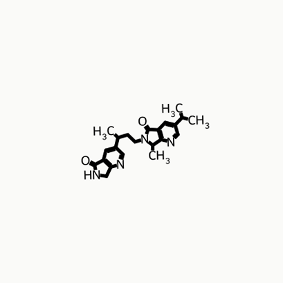 CC(C)c1cnc2c(c1)C(=O)N(CCC(C)c1cnc3c(c1)C(=O)NC3)C2C